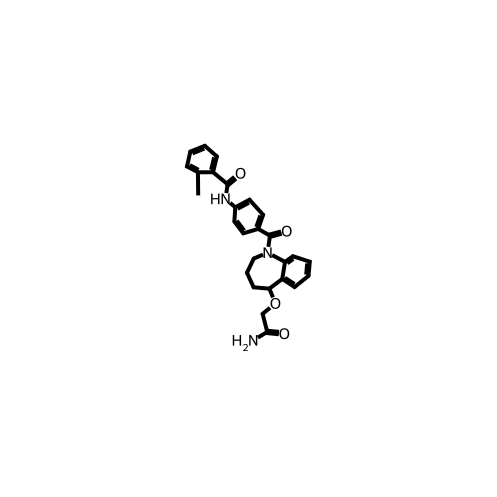 Cc1ccccc1C(=O)Nc1ccc(C(=O)N2CCCC(OCC(N)=O)c3ccccc32)cc1